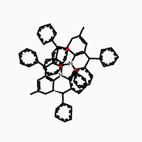 CC1=CC(C(c2ccccc2)c2ccccc2)=C(N2C=CN(C3=C(C(c4ccccc4)c4ccccc4)C=C(C)C[C@@H]3C(c3ccccc3)c3ccccc3)C2)[C@@H](C(c2ccccc2)c2ccccc2)C1